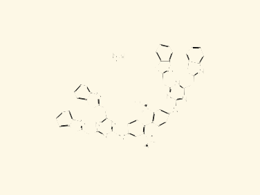 O=S(=O)(O)c1cc(Nc2nc(Sc3nc4ccccc4s3)nc(Sc3nc4ccccc4s3)n2)ccc1-c1ccc(Nc2nc(Sc3nc4ccccc4s3)nc(Sc3nc4ccccc4s3)n2)cc1S(=O)(=O)O.[NaH].[NaH]